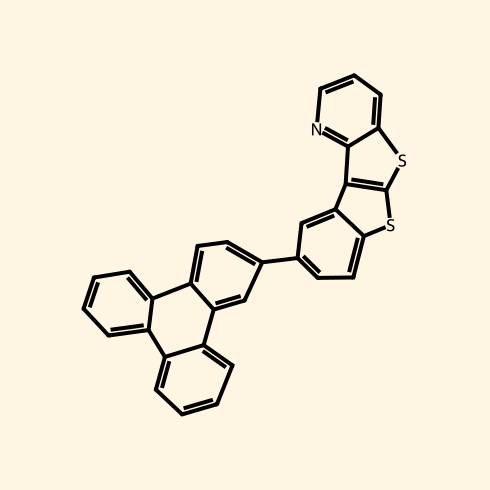 c1cnc2c(c1)sc1sc3ccc(-c4ccc5c6ccccc6c6ccccc6c5c4)cc3c12